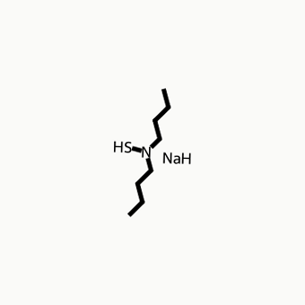 CCCCN(S)CCCC.[NaH]